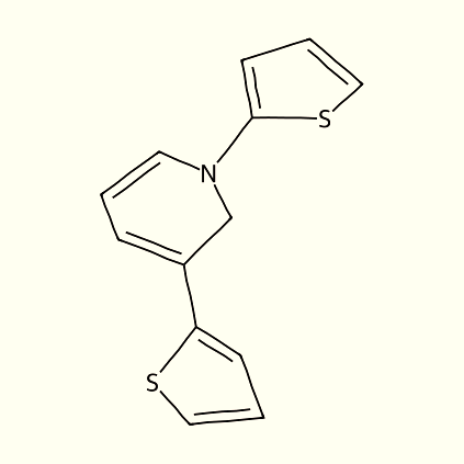 C1=CN(c2cccs2)CC(c2cccs2)=C1